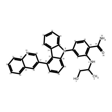 CC(CO)Nc1cc(-n2c3ccccc3c3c(-c4cnc5ccccc5c4)cccc32)ccc1C(N)=O